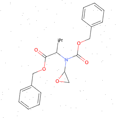 CC(C)C(C(=O)OCc1ccccc1)N(C(=O)OCc1ccccc1)C1CO1